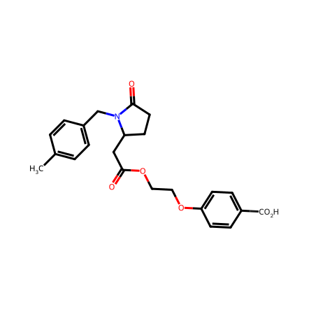 Cc1ccc(CN2C(=O)CCC2CC(=O)OCCOc2ccc(C(=O)O)cc2)cc1